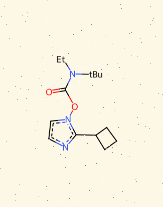 CCN(C(=O)On1ccnc1C1CCC1)C(C)(C)C